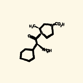 C[C@@H]1CN(C(=O)O)CCN1C(=O)[C@@H](N)C1CCCCC1.Cl